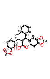 O=C(O)C1=C(c2ccc3c(c2)OCO3)c2ccccc2CC1c1ccc2c(c1)OCO2